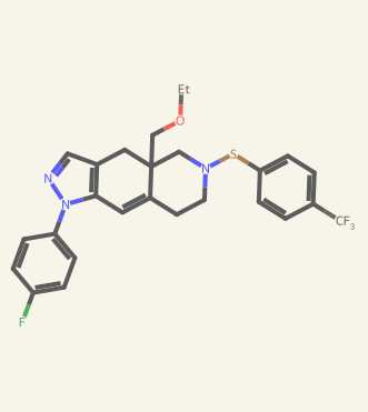 CCOCC12Cc3cnn(-c4ccc(F)cc4)c3C=C1CCN(Sc1ccc(C(F)(F)F)cc1)C2